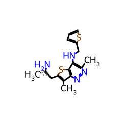 Cc1nnc2c(C)c(C[C@H](C)N)sc2c1NCc1cccs1